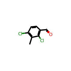 Cc1c(Cl)ccc([C]=O)c1Cl